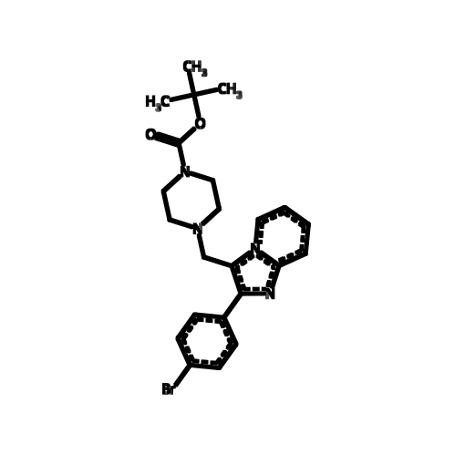 CC(C)(C)OC(=O)N1CCN(Cc2c(-c3ccc(Br)cc3)nc3ccccn23)CC1